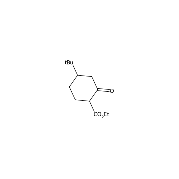 CCOC(=O)C1CCC(C(C)(C)C)CC1=O